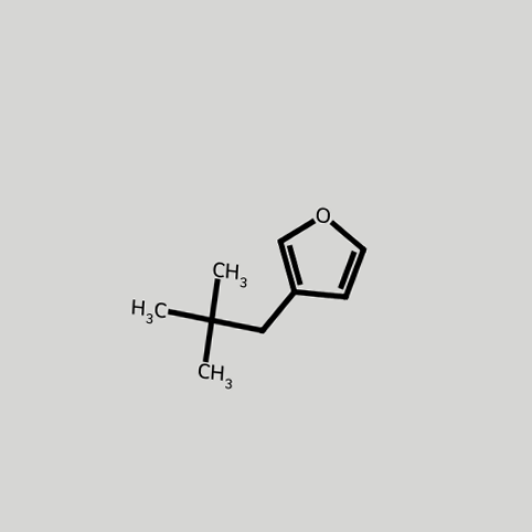 CC(C)(C)Cc1ccoc1